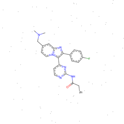 CC(C)CC(=O)Nc1nccc(-c2c(-c3ccc(F)cc3)nc3cc(CN(C)C)ccn23)n1